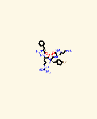 N=C(N)NCCC[C@@H](NC(=O)[C@@H](N)Cc1ccccc1)C(=O)N[C@@H](Cc1ccc(Br)cc1)C(=O)N[C@@H](CCCCN)C(N)=O